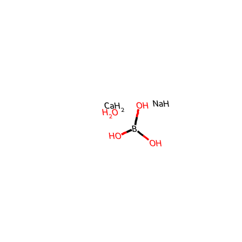 O.OB(O)O.[CaH2].[NaH]